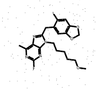 COCCCCCn1c(Cc2cc3c(cc2I)OCO3)nc2c(C)nc(F)nc21